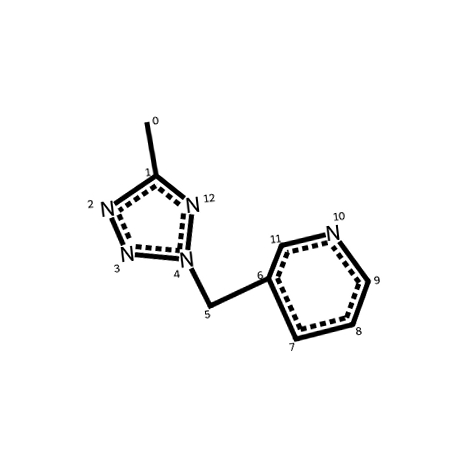 Cc1nnn(Cc2cccnc2)n1